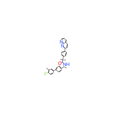 Cc1cc(-c2ccc([C@H](C)NC(=O)C(C)(C)c3ccc(-c4ccc5cccnc5n4)cc3)cc2)ccc1F